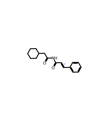 O=C(/C=C/c1ccccc1)NC(=O)CC1CCCCC1